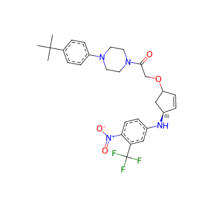 CC(C)(C)c1ccc(N2CCN(C(=O)COC3C=C[C@@H](Nc4ccc([N+](=O)[O-])c(C(F)(F)F)c4)C3)CC2)cc1